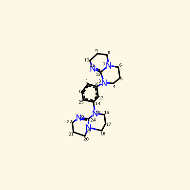 c1cc(N2CCCN3CCCN=C32)cc(N2CCCN3CCCN=C32)c1